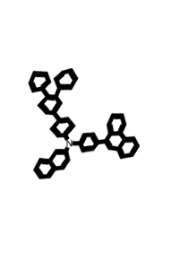 c1ccc(-c2ccc(-c3ccc(N(c4ccc(-c5cc6ccccc6c6ccccc56)cc4)c4ccc5ccccc5c4)cc3)cc2-c2ccccc2)cc1